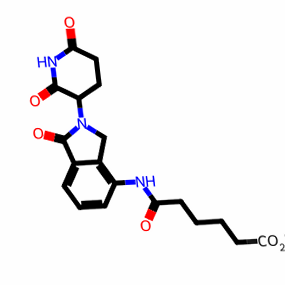 O=C(O)CCCCC(=O)Nc1cccc2c1CN(C1CCC(=O)NC1=O)C2=O